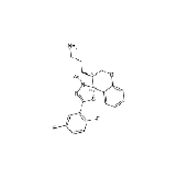 CC(=O)N1N=C(c2cc(F)ccc2F)S[C@]12c1ccccc1OC[C@@H]2CCCN